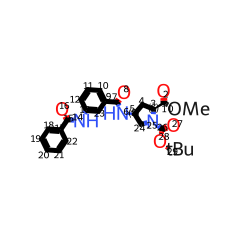 COC(=O)[C@@H]1C[C@H](NC(=O)c2cccc(NC(=O)c3ccccc3)c2)CN1C(=O)OC(C)(C)C